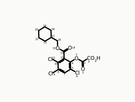 O=C(O)C(=O)Oc1c(Cl)cc(Cl)c(Cl)c1C(=O)OCC1CCCCC1